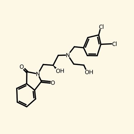 O=C1c2ccccc2C(=O)N1C[C@H](O)CN(CCO)Cc1ccc(Cl)c(Cl)c1